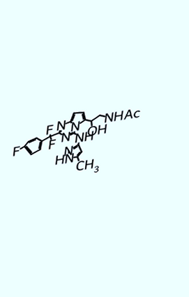 CC(=O)NCC(O)c1ccc2nc(C(F)(F)c3ccc(F)cc3)nc(Nc3cc(C)[nH]n3)n12